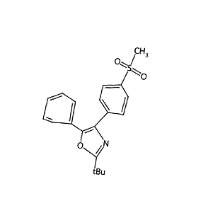 CC(C)(C)c1nc(-c2ccc(S(C)(=O)=O)cc2)c(-c2ccccc2)o1